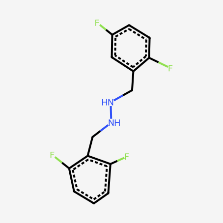 Fc1ccc(F)c(CNNCc2c(F)cccc2F)c1